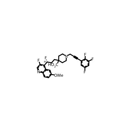 COc1ccc2ncc(F)c([C@H](F)CCC3(C(=O)O)CCN(CC#Cc4cc(F)cc(F)c4F)CC3)c2c1